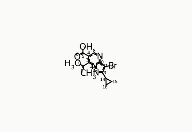 CC(C)c1c(C(=O)O)cnc2c(Br)c(C3CC3)nn12